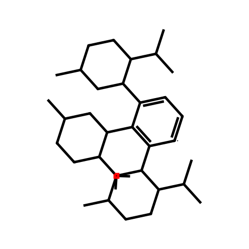 CC1CCC(C(C)C)C(c2[c]ccc(C3CC(C)CCC3C(C)C)c2C2CC(C)CCC2C(C)C)C1